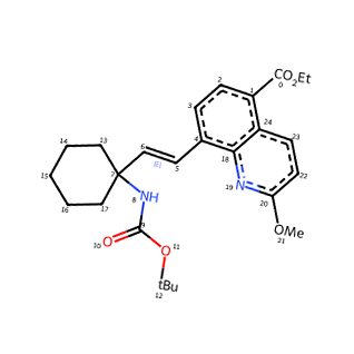 CCOC(=O)c1ccc(/C=C/C2(NC(=O)OC(C)(C)C)CCCCC2)c2nc(OC)ccc12